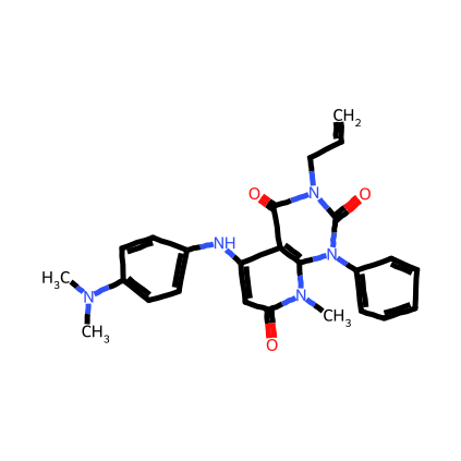 C=CCn1c(=O)c2c(Nc3ccc(N(C)C)cc3)cc(=O)n(C)c2n(-c2ccccc2)c1=O